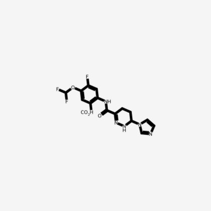 O=C(Nc1cc(F)c(OC(F)F)cc1C(=O)O)C1=NNC(n2ccnc2)CC1